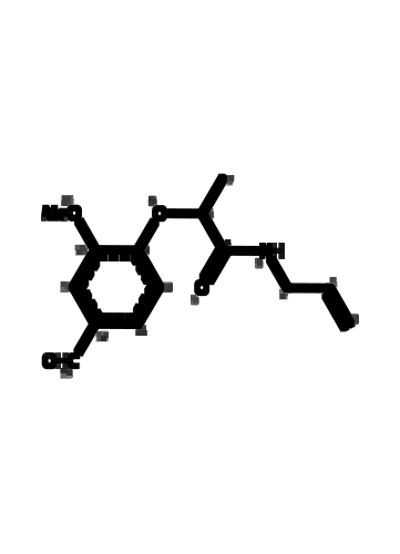 C=CCNC(=O)C(C)Oc1ccc(C=O)cc1OC